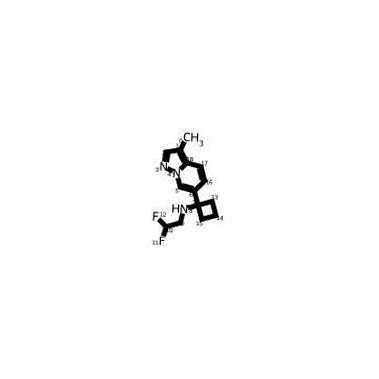 Cc1cnn2cc(C3(NCC(F)F)CCC3)ccc12